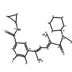 Cc1c(F)cc(C(=O)NC2CC2)cc1/C(N)=C/C=C(\N)C(=O)N(C)C1CCCCC1